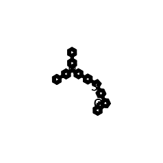 c1ccc(-c2ccc(N(c3ccc(-c4ccccc4)cc3)c3ccc(-c4ccc(-c5ccc(-c6ccc(-c7cccc8c7oc7ccccc78)cc6)s5)cc4)cc3)cc2)cc1